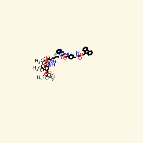 CC(C)(C)OC(=O)CC[C@H](NC(=O)N[C@@H](CCCCNC(=O)[C@H](Cc1cccc(F)c1)NC(=O)C1CCC(CNC(=O)OCC2c3ccccc3-c3ccccc32)CC1)C(=O)OC(C)(C)C)C(=O)OC(C)(C)C